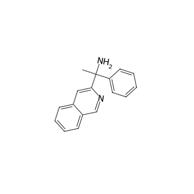 CC(N)(c1ccccc1)c1cc2ccccc2cn1